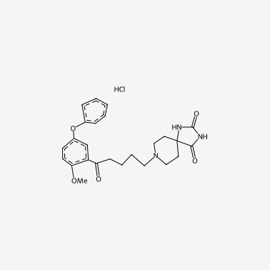 COc1ccc(Oc2ccccc2)cc1C(=O)CCCCN1CCC2(CC1)NC(=O)NC2=O.Cl